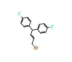 Fc1ccc(C(C=CCBr)c2ccc(F)cc2)cc1